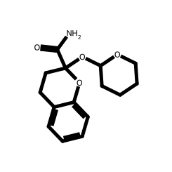 NC(=O)C1(OC2CCCCO2)CCc2ccccc2O1